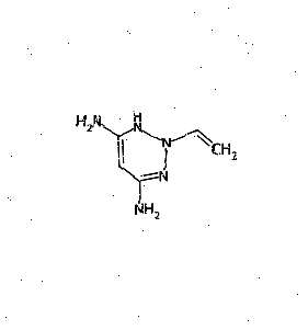 C=CN1N=C(N)C=C(N)N1